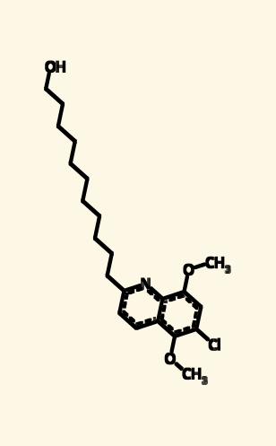 COc1c(Cl)cc(OC)c2nc(CCCCCCCCCCCO)ccc12